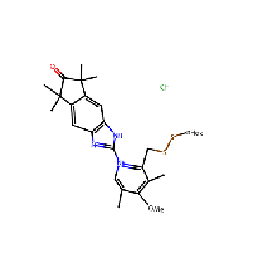 CCCCCCSSCc1c(C)c(OC)c(C)c[n+]1-c1nc2cc3c(cc2[nH]1)C(C)(C)C(=O)C3(C)C.[Cl-]